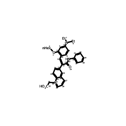 CCCCCCOc1cc(N(CC)CC)ccc1/C=C(\C(=O)Nc1ccccc1)c1ccc2c(ccc[n+]2CC(=O)O)c1